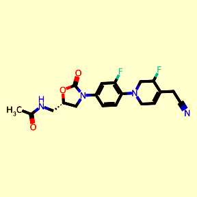 CC(=O)NC[C@H]1CN(c2ccc(N3CC=C(CC#N)C(F)C3)c(F)c2)C(=O)O1